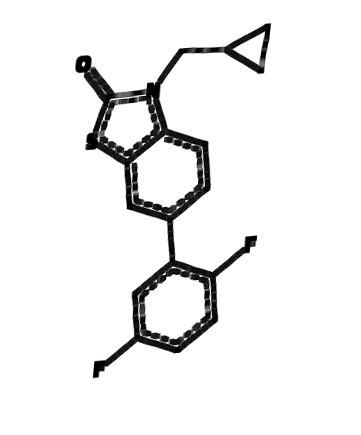 O=c1sc2cc(-c3cc(F)ccc3F)ccc2n1CC1CC1